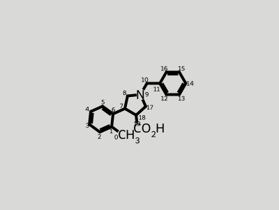 Cc1ccccc1C1CN(Cc2ccccc2)CC1C(=O)O